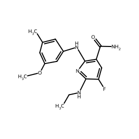 CCNc1nc(Nc2cc(C)cc(OC)c2)c(C(N)=O)cc1F